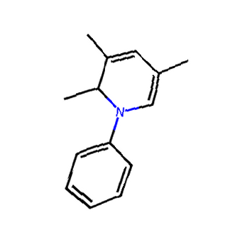 CC1=CN(c2ccccc2)C(C)C(C)=C1